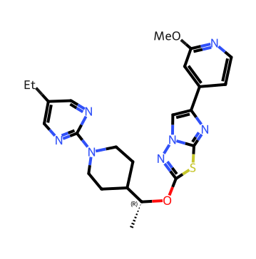 CCc1cnc(N2CCC([C@@H](C)Oc3nn4cc(-c5ccnc(OC)c5)nc4s3)CC2)nc1